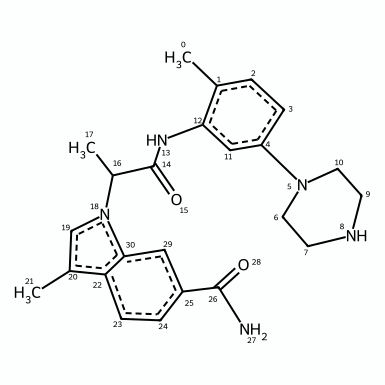 Cc1ccc(N2CCNCC2)cc1NC(=O)C(C)n1cc(C)c2ccc(C(N)=O)cc21